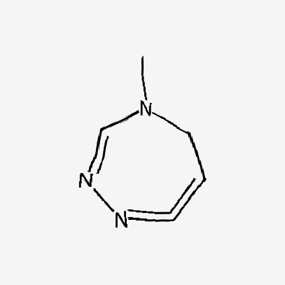 CN1C=NN=C=CC1